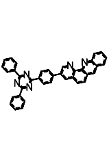 c1ccc(-c2nc(-c3ccccc3)nc(-c3ccc(-c4cnc5c(ccc6cc7ccccc7nc65)c4)cc3)n2)cc1